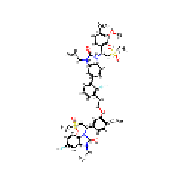 CCOc1cc(C(CS(C)(=O)=O)n2c(=O)n(CNC)c3cc(-c4cccc(CCOc5cc(C(CS(C)(=O)=O)n6c(=O)n(CC#N)c7cc(F)ccc76)ccc5OC)c4F)ccc32)ccc1OC